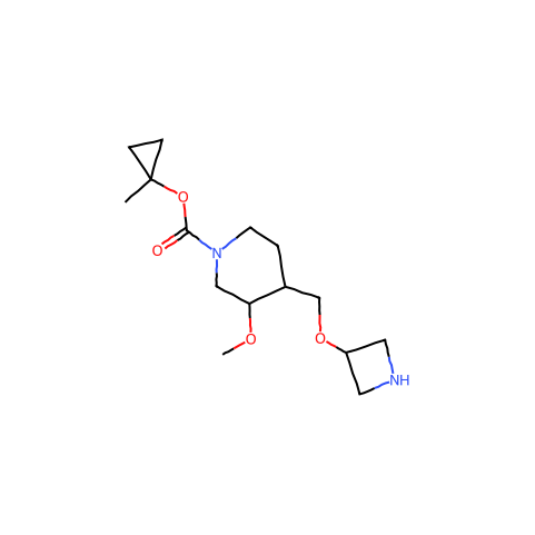 COC1CN(C(=O)OC2(C)CC2)CCC1COC1CNC1